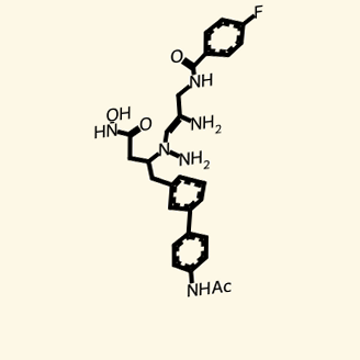 CC(=O)Nc1ccc(-c2cccc(CC(CC(=O)NO)N(N)/C=C(\N)CNC(=O)c3ccc(F)cc3)c2)cc1